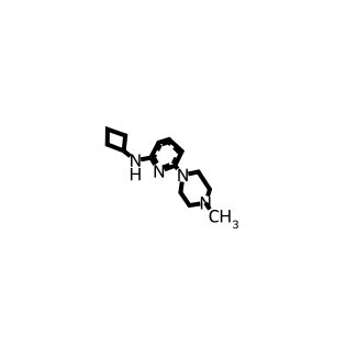 CN1CCN(c2cccc(NC3CCC3)n2)CC1